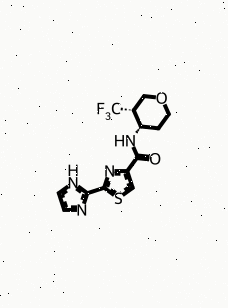 O=C(N[C@H]1CCOC[C@H]1C(F)(F)F)c1csc(-c2ncc[nH]2)n1